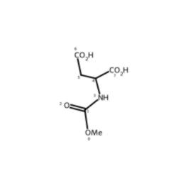 COC(=O)NC(CC(=O)O)C(=O)O